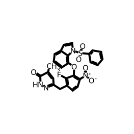 Cc1cc(Cc2ccc([N+](=O)[O-])c(Oc3cccc4ccn(S(=O)(=O)c5ccccc5)c34)c2F)n[nH]c1=O